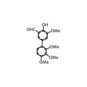 COc1cc(-c2ccc(OC)c(OC)c2OC)cc(C=O)c1O